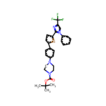 CC(C)(C)OC(=O)N1CCN(c2ccc(-c3ccc(-c4nc(C(F)(F)F)cn4-c4ccccc4)s3)cc2)CC1